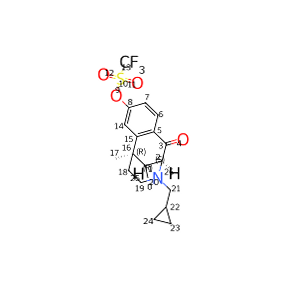 C[C@H]1[C@H]2C(=O)c3ccc(OS(=O)(=O)C(F)(F)F)cc3[C@]1(C)CCN2CC1CC1